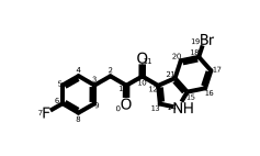 O=C(Cc1ccc(F)cc1)C(=O)c1c[nH]c2ccc(Br)cc12